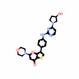 O=c1cc(N2CCOCC2)oc2c(-c3ccc(Nc4nccc(N5CCC(O)C5)n4)cc3)csc12